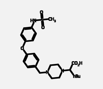 CCCCC(C(=O)O)N1CCN(Cc2ccc(Oc3ccc(NS(C)(=O)=O)cc3)cc2)CC1